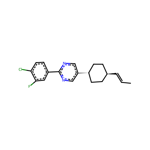 CC=C[C@H]1CC[C@H](c2cnc(-c3ccc(Cl)c(F)c3)nc2)CC1